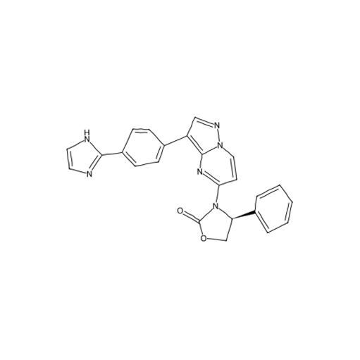 O=C1OC[C@H](c2ccccc2)N1c1ccn2ncc(-c3ccc(-c4ncc[nH]4)cc3)c2n1